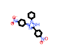 O=[N+]([O-])c1ccc(C2=NN(c3ccc([N+](=O)[O-])cc3)N(c3ccccc3)N2)cc1